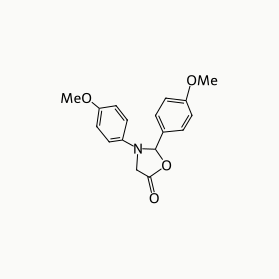 COc1ccc(C2OC(=O)CN2c2ccc(OC)cc2)cc1